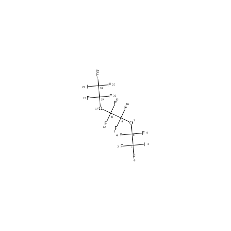 FC(F)(I)C(F)(F)OC(F)(F)C(F)(F)OC(F)(F)C(F)(F)I